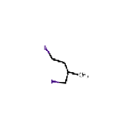 CC(CI)CCI